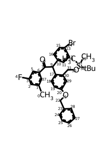 Cc1cc(F)cc(C(=O)C(c2ccc(Br)cc2)c2ccc(OCc3ccccc3)cc2CO[Si](C)(C)C(C)(C)C)c1